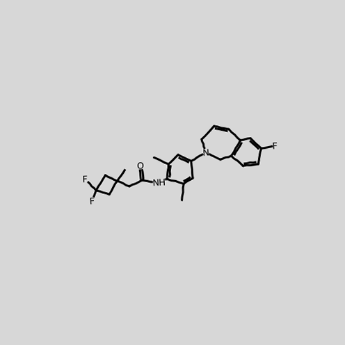 Cc1cc(N2CC=Cc3cc(F)ccc3C2)cc(C)c1NC(=O)CC1(C)CC(F)(F)C1